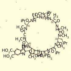 CC[C@@H]1NC(=O)[C@H]([C@H](O)[C@H](C)Cc2nc3cc(C(=O)O)c(C(=O)O)cc3[nH]2)N(C)C(=O)[C@H](C(C)C)N(C)C(=O)[C@H](CC(C)C)N(C)C(=O)[C@H](CC(C)C)N(C)C(=O)[C@@H](C)NC(=O)[C@H](C)NC(=O)[C@H](CC(C)C)N(C)C(=O)[C@H](CC)NC(=O)[C@H](CC(C)C)N(C)C(=O)CN(C)C1=O